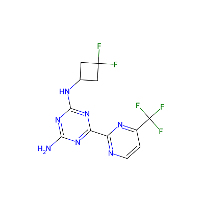 Nc1nc(NC2CC(F)(F)C2)nc(-c2nccc(C(F)(F)F)n2)n1